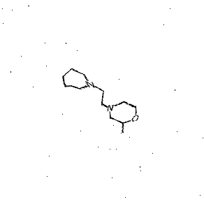 CC1CN(CCN2CCCCC2)CCO1